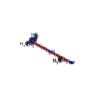 CC(C)(C)N[C@@H]1CC[C@H](N2CC[C@H](Nc3ncnc4ccc(C(F)(F)F)cc34)C2=O)[C@H](NC(=O)CCOCCOCCOCCOCCOCCOCCNC(=O)CCOCCOCCOCCN(CCOCCOCCOCCN=[N+]=[N-])C(=O)OC(C)(C)C)C1